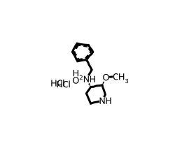 CO[C@@H]1CNCC[C@@H]1NCc1ccccc1.Cl.Cl.O